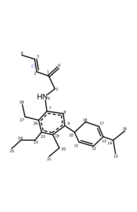 C=C(/C=C/C)CNc1cc(C2C=CC(C(C)C)=CC2)c(CC)c(CCC)c1CC